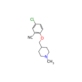 CN1CCC(COc2ccc(Cl)cc2C#N)CC1